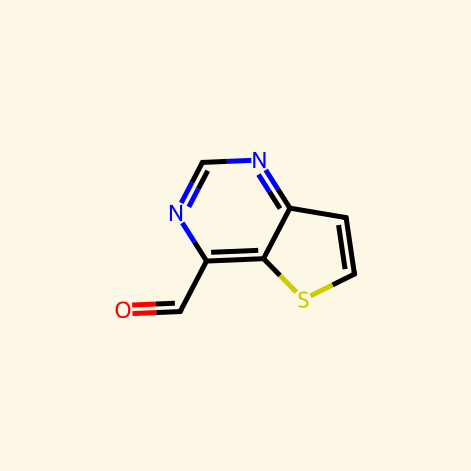 O=Cc1ncnc2ccsc12